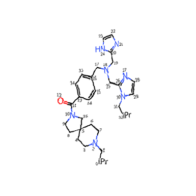 CC(C)CN1CCC2(CC1)CCN(C(=O)c1ccc(CN(Cc3ncc[nH]3)Cc3nccn3CC(C)C)cc1)C2